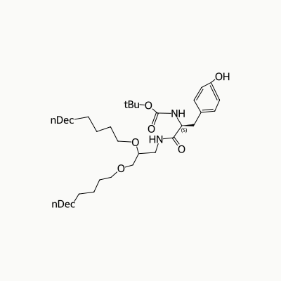 CCCCCCCCCCCCCCOCC(CNC(=O)[C@H](Cc1ccc(O)cc1)NC(=O)OC(C)(C)C)OCCCCCCCCCCCCCC